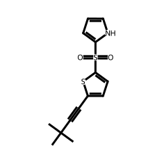 CC(C)(C)C#Cc1ccc(S(=O)(=O)c2ccc[nH]2)s1